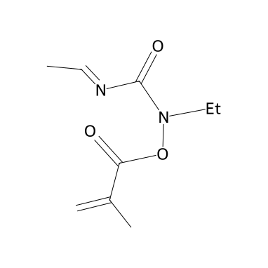 C=C(C)C(=O)ON(CC)C(=O)N=CC